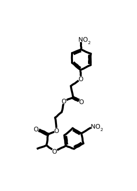 CC(Oc1ccc([N+](=O)[O-])cc1)C(=O)OCCOC(=O)COc1ccc([N+](=O)[O-])cc1